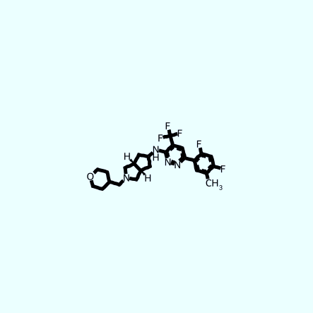 Cc1cc(-c2cc(C(F)(F)F)c(NC3C[C@@H]4CN(CC5CCOCC5)C[C@@H]4C3)nn2)c(F)cc1F